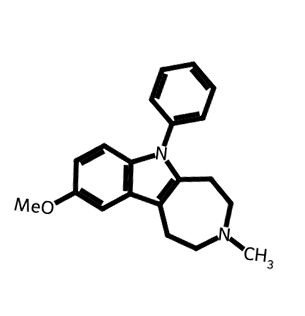 COc1ccc2c(c1)c1c(n2-c2ccccc2)CCN(C)CC1